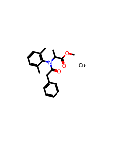 COC(=O)C(C)N(C(=O)Cc1ccccc1)c1c(C)cccc1C.[Cu]